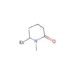 [CH2]CC1CCCC(=O)N1C